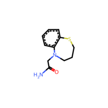 NC(=O)CN1CCCSc2ccccc21